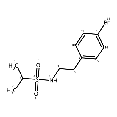 CC(C)S(=O)(=O)NCCc1ccc(Br)cc1